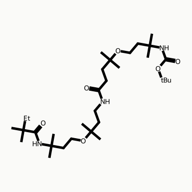 CCC(C)(C)C(=O)NC(C)(C)CCOC(C)(C)CCNC(=O)CCC(C)(C)OCCC(C)(C)NC(=O)OC(C)(C)C